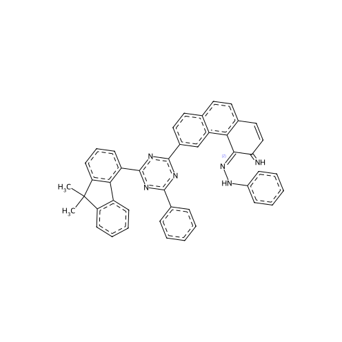 CC1(C)c2ccccc2-c2c(-c3nc(-c4ccccc4)nc(-c4ccc5ccc6c(c5c4)/C(=N/Nc4ccccc4)C(=N)C=C6)n3)cccc21